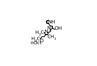 C=C(CCC1=C(C)C(/C=C2\N=C(c3ccc[nH]3)C=C2CO)N=C1C)OCCCCCCCC